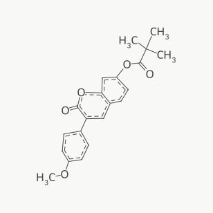 COc1ccc(-c2cc3ccc(OC(=O)C(C)(C)C)cc3oc2=O)cc1